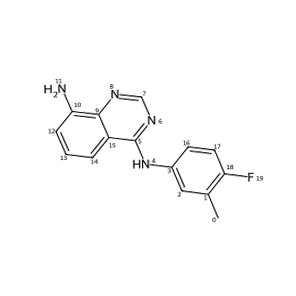 Cc1cc(Nc2ncnc3c(N)cccc23)ccc1F